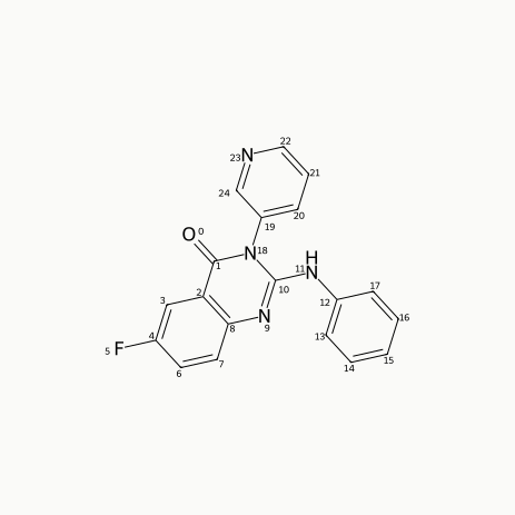 O=c1c2cc(F)ccc2nc(Nc2ccccc2)n1-c1cccnc1